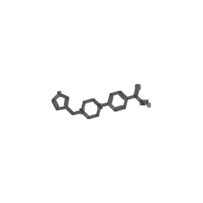 NC(=O)c1ccc(N2CCN(Cc3ccsc3)CC2)cc1